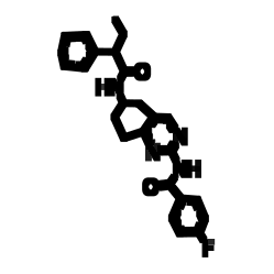 CCC(C(=O)NC1CCc2nc(NC(=O)c3ccc(F)cc3)ncc2C1)c1ccccc1